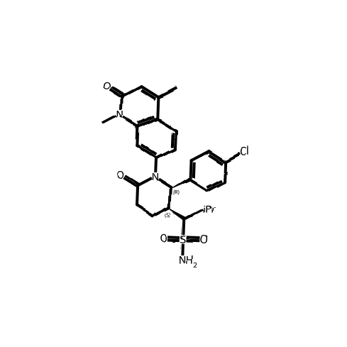 Cc1cc(=O)n(C)c2cc(N3C(=O)CC[C@H](C(C(C)C)S(N)(=O)=O)[C@@H]3c3ccc(Cl)cc3)ccc12